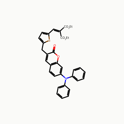 CCOC(=O)C(=Cc1ccc(Cc2cc3ccc(N(c4ccccc4)c4ccccc4)cc3oc2=O)s1)C(=O)OCC